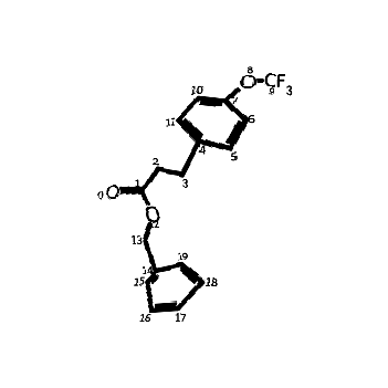 O=C([CH]Cc1ccc(OC(F)(F)F)cc1)OCc1ccccc1